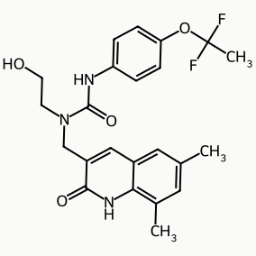 Cc1cc(C)c2[nH]c(=O)c(CN(CCO)C(=O)Nc3ccc(OC(C)(F)F)cc3)cc2c1